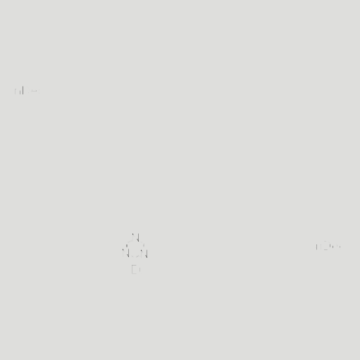 [CH2]Cc1nc(CCCCCCCCCCCCCCCCCCCCCCCCCCCC)nc(CCCCCCCCCCCCCCCCCCCCCCCCCCCC)n1